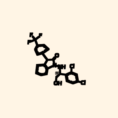 O=C1C(c2ccc(C(F)(F)F)cc2)c2ccccc2N1N[C@H](CO)c1ccc(Cl)cc1Cl